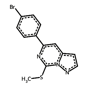 CSc1nc(-c2ccc(Br)cc2)cc2ccnn12